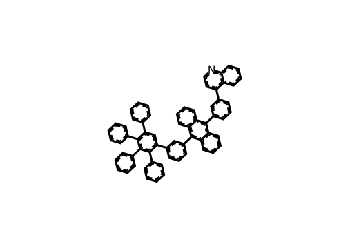 c1ccc(-c2cc(-c3cccc(-c4c5ccccc5c(-c5cccc(-c6ccnc7ccccc67)c5)c5ccccc45)c3)c(-c3ccccc3)c(-c3ccccc3)c2-c2ccccc2)cc1